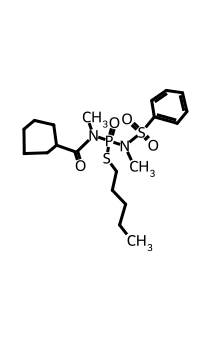 CCCCCSP(=O)(N(C)C(=O)C1CCCCC1)N(C)S(=O)(=O)c1ccccc1